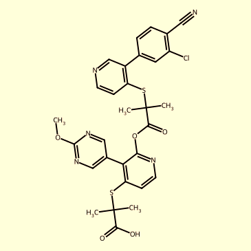 COc1ncc(-c2c(SC(C)(C)C(=O)O)ccnc2OC(=O)C(C)(C)Sc2ccncc2-c2ccc(C#N)c(Cl)c2)cn1